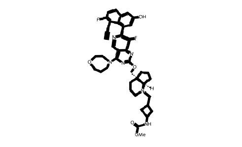 C#Cc1c(F)ccc2cc(O)cc(-c3ncc4c(N5CCCOCC5)nc(OC[C@]56CCC[C@H]5N(CC5CC(NC(=O)OC)C5)CCC6)nc4c3F)c12